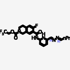 CCC/C=N/N=C/C1=CC=CC(NC(=O)c2cc3c(cc2F)CCN(C(=O)OCC(F)(F)F)C3)N1